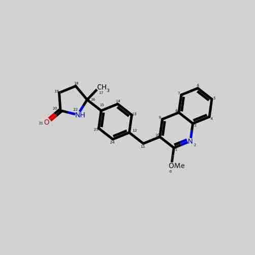 COc1nc2ccccc2cc1Cc1ccc(C2(C)CCC(=O)N2)cc1